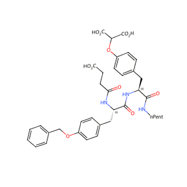 CCCCCNC(=O)[C@H](Cc1ccc(OC(C(=O)O)C(=O)O)cc1)NC(=O)[C@H](Cc1ccc(OCc2ccccc2)cc1)NC(=O)CCC(=O)O